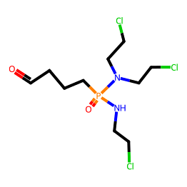 O=CCCCP(=O)(NCCCl)N(CCCl)CCCl